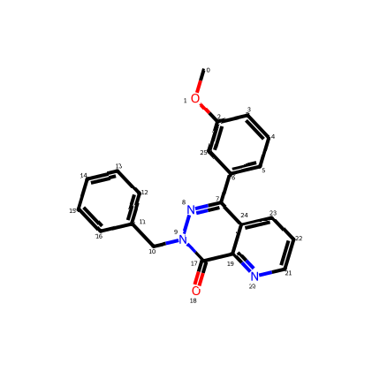 COc1cccc(-c2nn(Cc3ccccc3)c(=O)c3ncccc23)c1